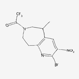 CC1CN(C(=O)C(F)(F)F)CCc2nc(Br)c([N+](=O)[O-])cc21